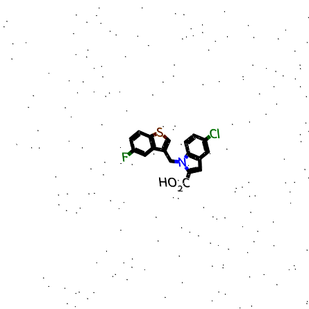 O=C(O)c1cc2cc(Cl)ccc2n1Cc1csc2ccc(F)cc12